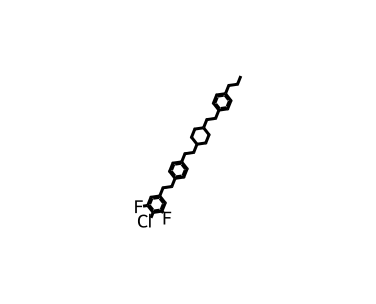 CCCc1ccc(CCC2CCC(CCc3ccc(CCc4cc(F)c(Cl)c(F)c4)cc3)CC2)cc1